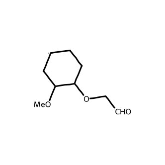 COC1C[CH]CCC1OCC=O